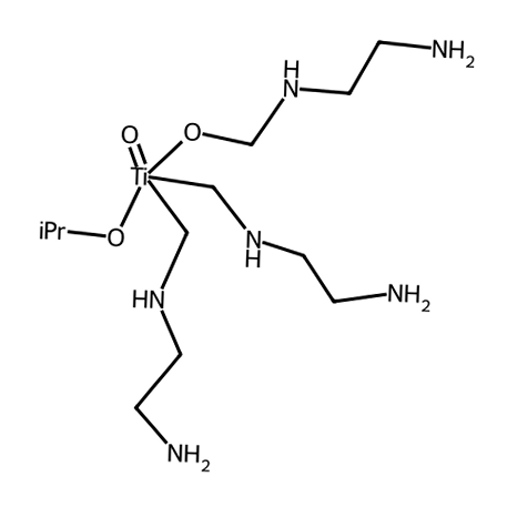 CC(C)[O][Ti](=[O])([CH2]NCCN)([CH2]NCCN)[O]CNCCN